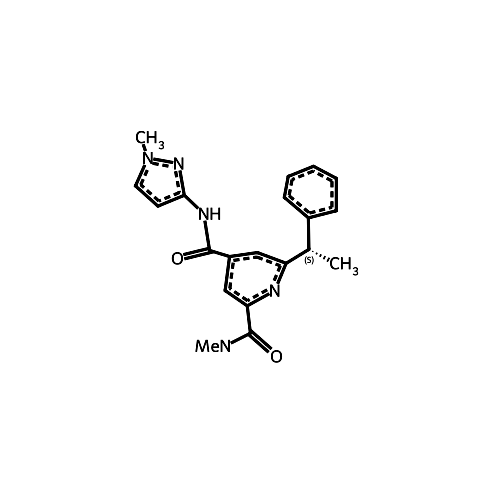 CNC(=O)c1cc(C(=O)Nc2ccn(C)n2)cc([C@@H](C)c2ccccc2)n1